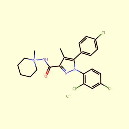 Cc1c(C(=O)N[N+]2(C)CCCCC2)nn(-c2ccc(Cl)cc2Cl)c1-c1ccc(Cl)cc1.[Cl-]